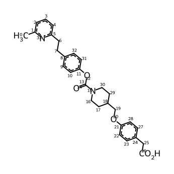 Cc1cccc(CCc2ccc(OC(=O)N3CCC(COc4ccc(CC(=O)O)cc4)CC3)cc2)n1